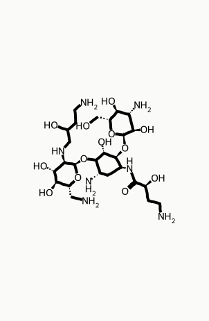 NCCC(O)CN[C@H]1[C@@H](OC2[C@@H](N)C[C@@H](NC(=O)[C@@H](O)CCN)[C@H](O[C@H]3O[C@H](CO)[C@@H](O)[C@H](N)[C@H]3O)[C@H]2O)O[C@H](CN)[C@@H](O)[C@@H]1O